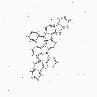 c1ccc(-n2c3ccc4c5c6oc7ccccc7c6ccc5n(-c5ccccc5)c4c3c3cccc(-c4ccc5ccccc5c4)c32)cc1